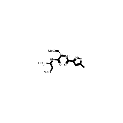 COC[C@H](NC(=O)[C@H](COC)NC(=O)c1cc(C)on1)C(=O)O